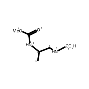 COC(=O)NC(C)CNC(=O)O